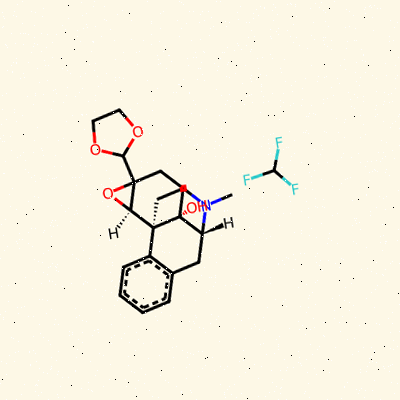 CN1CC[C@@]23c4ccccc4C[C@@H]1[C@]2(O)CCC1(C2OCCO2)O[C@@H]13.FC(F)F